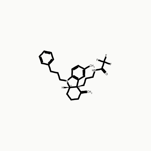 C=C1CCC[C@@H]2N(CCCc3ccccc3)c3ccc(C)cc3[C@]12CCCNC(=O)C(F)(F)F